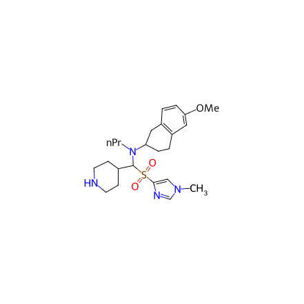 CCCN(C1CCc2cc(OC)ccc2C1)C(C1CCNCC1)S(=O)(=O)c1cn(C)cn1